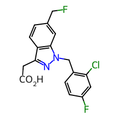 O=C(O)Cc1nn(Cc2ccc(F)cc2Cl)c2cc(CF)ccc12